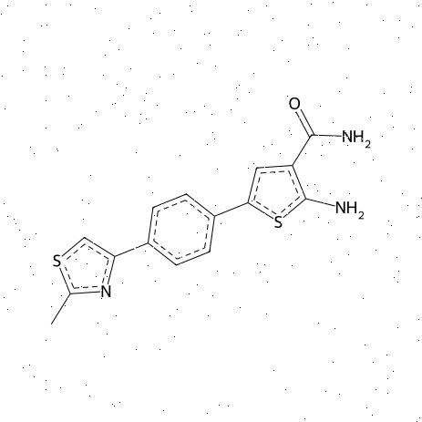 Cc1nc(-c2ccc(-c3cc(C(N)=O)c(N)s3)cc2)cs1